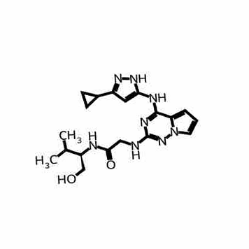 CC(C)[C@H](CO)NC(=O)CNc1nc(Nc2cc(C3CC3)n[nH]2)c2cccn2n1